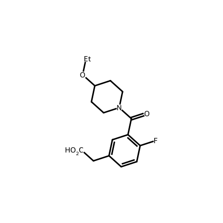 CCOC1CCN(C(=O)c2cc(CC(=O)O)ccc2F)CC1